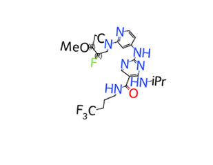 CO[C@H]1CCN(c2cc(Nc3ncc(C(=O)NCCCC(F)(F)F)c(NC(C)C)n3)ccn2)C[C@H]1F